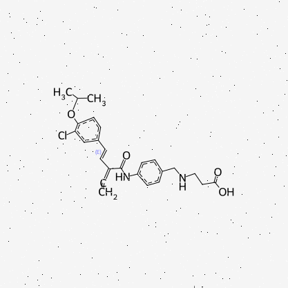 C=C=C(/C=C/c1ccc(OC(C)C)c(Cl)c1)C(=O)Nc1ccc(CNCCC(=O)O)cc1